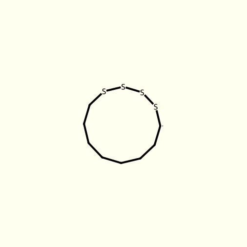 [CH]1CCCCCCCSSSS1